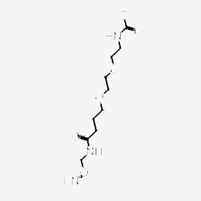 CCC(=O)NCCOCCOCCCC(=O)NCON